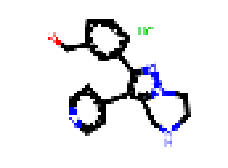 Cl.OCc1cccc(-c2nn3c(c2-c2ccncc2)CNCC3)c1